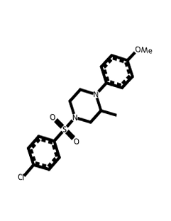 COc1ccc(N2CCN(S(=O)(=O)c3ccc(Cl)cc3)CC2C)cc1